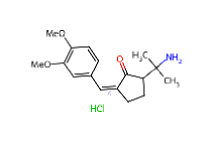 COc1ccc(/C=C2/CCC(C(C)(C)N)C2=O)cc1OC.Cl